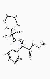 CCOC(=O)/C(=N/OS(=O)(=O)C1CCCCC1)c1ccccc1